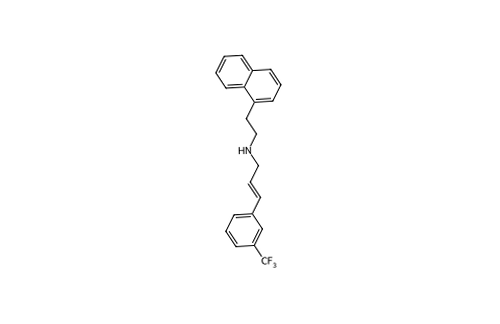 FC(F)(F)c1cccc(C=CCNCCc2cccc3ccccc23)c1